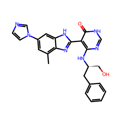 Cc1cc(-n2ccnc2)cc2[nH]c(-c3c(N[C@H](CO)Cc4ccccc4)nc[nH]c3=O)nc12